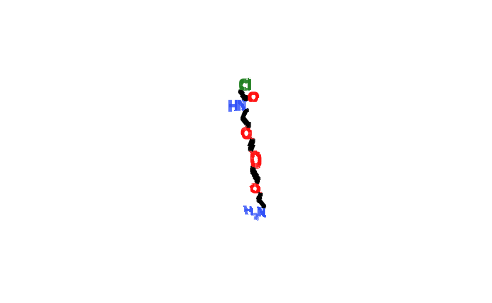 NCCCOCCOCCOCCCNC(=O)CCl